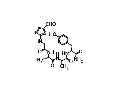 CC(NC(=O)CNc1ncc(C=O)s1)C(=O)NC(C)C(=O)NC(Cc1ccc(O)cc1)C(N)=O